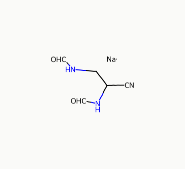 N#CC(CNC=O)NC=O.[Na]